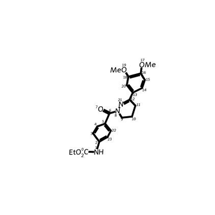 CCOC(=O)Nc1ccc(C(=O)N2CCCC(c3ccc(OC)c(OC)c3)=N2)cc1